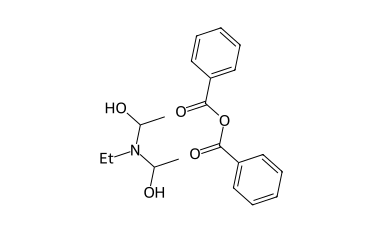 CCN(C(C)O)C(C)O.O=C(OC(=O)c1ccccc1)c1ccccc1